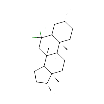 CC(=O)O[C@@H]1CC[C@]2(C)[C@H]3CC[C@]4(C)[C@@H](OC(C)=O)CC[C@H]4[C@@H]3CC(F)(F)[C@@]2(F)C1